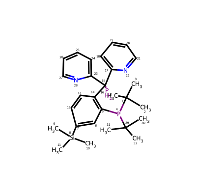 CC(C)(C)P(c1cc([Si](C)(C)C)ccc1C(P)(c1ccccn1)c1ccccn1)C(C)(C)C